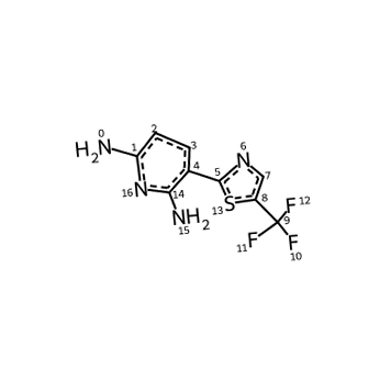 Nc1ccc(-c2ncc(C(F)(F)F)s2)c(N)n1